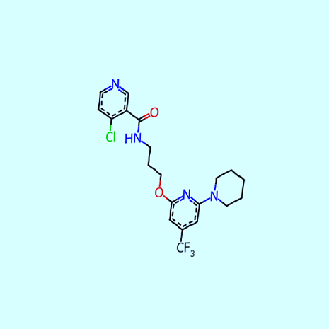 O=C(NCCCOc1cc(C(F)(F)F)cc(N2CCCCC2)n1)c1cnccc1Cl